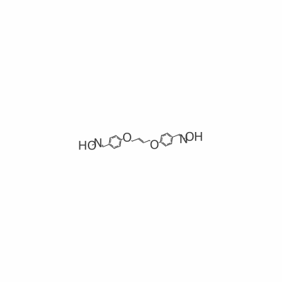 ON=Cc1ccc(OCC=CCOc2ccc(C=NO)cc2)cc1